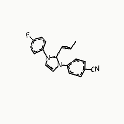 CC=CC1N(c2ccc(F)cc2)C=CN1c1ccc(C#N)cc1